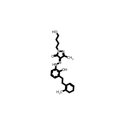 CC1=NN(CCCCO)C(=O)/C1=N\Nc1cccc(CCC2=C(C)CCC=C2)c1O